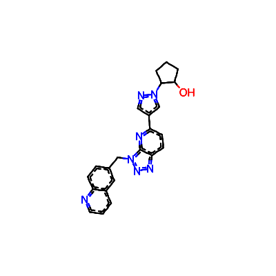 OC1CCCC1n1cc(-c2ccc3nnn(Cc4ccc5ncccc5c4)c3n2)cn1